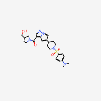 CN(C)c1ccc(S(=O)(=O)N2CCC(c3ccn4ncc(C(=O)N5CCC(CO)C5)c4c3)CC2)cc1